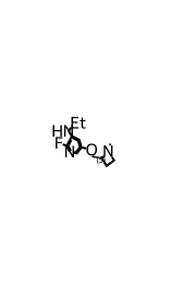 CCNc1cc(OC[C@@H]2CCN2C)cnc1F